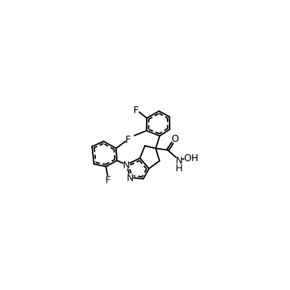 Cc1c(F)cccc1C1(C(=O)NO)Cc2cnn(-c3c(F)cccc3F)c2C1